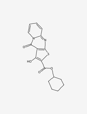 O=C(OC1CCCCC1)c1sc2nc3ccccn3c(=O)c2c1O